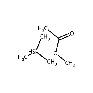 COC(C)=O.C[SiH](C)C